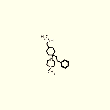 CNCC1CCC(CCc2ccccc2)(N2CCN(C)CC2)CC1